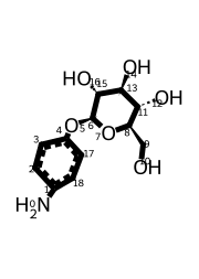 Nc1ccc(O[C@@H]2O[C@H](CO)[C@@H](O)[C@H](O)[C@H]2O)cc1